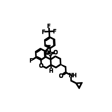 O=C(C[C@@H]1CC[C@@]2(S(=O)(=O)c3ccc(C(F)(F)F)cc3)c3c(F)ccc(F)c3OC[C@H]2C1)NCC1CC1